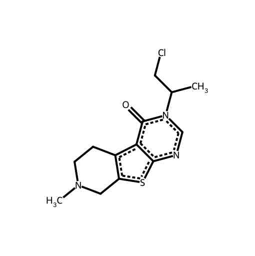 CC(CCl)n1cnc2sc3c(c2c1=O)CCN(C)C3